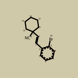 N#CC1(C=Cc2ccccc2Br)CCCCC1